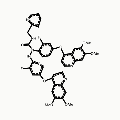 COc1cc2nccc(Oc3ccc(NN(C(=O)NCc4ccccn4)c4ccc(Oc5ccnc6cc(OC)c(OC)cc56)cc4F)c(F)c3)c2cc1OC